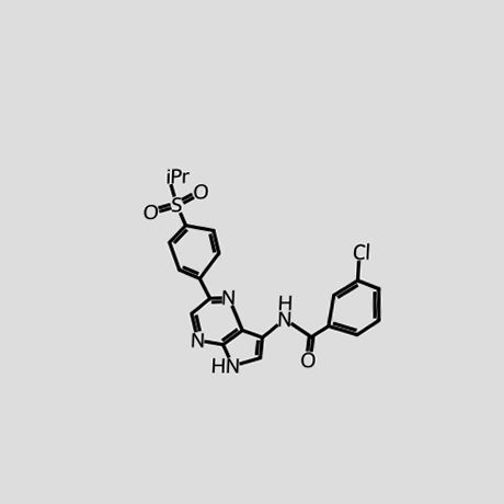 CC(C)S(=O)(=O)c1ccc(-c2cnc3[nH]cc(NC(=O)c4cccc(Cl)c4)c3n2)cc1